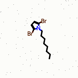 CCCCCCCCn1c(Br)ccc1Br